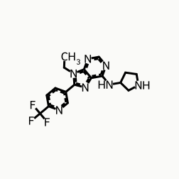 CCn1c(-c2ccc(C(F)(F)F)nc2)nc2c(NC3CCNC3)ncnc21